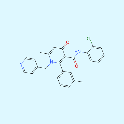 Cc1cccc(-c2c(C(=O)Nc3ccccc3Cl)c(=O)cc(C)n2Cc2ccncc2)c1